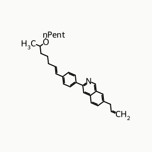 C=CCc1ccc2cc(-c3ccc(C=CCCCC(C)OCCCCC)cc3)ncc2c1